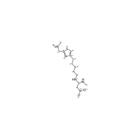 CNC(C[N+](=O)[O-])NCCSCCc1csc(CN(C)C)n1